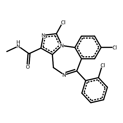 CNC(=O)c1nc(Cl)n2c1CN=C(c1ccccc1Cl)c1cc(Cl)ccc1-2